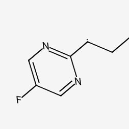 CC[CH]c1ncc(F)cn1